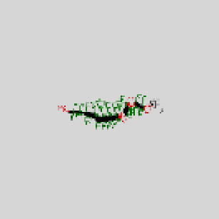 OCC(F)(F)C(F)(F)C(F)(F)C(F)(F)C(F)(F)C(F)(F)C(F)(F)OC(F)(F)C(F)(F)OC(F)(F)C(F)(F)OC(F)(F)F